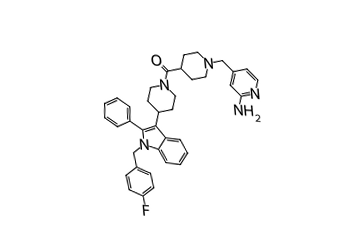 Nc1cc(CN2CCC(C(=O)N3CCC(c4c(-c5ccccc5)n(Cc5ccc(F)cc5)c5ccccc45)CC3)CC2)ccn1